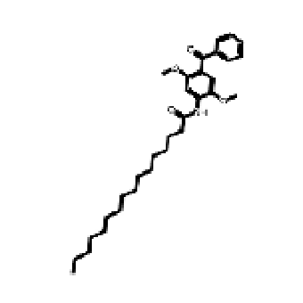 CCCCCCCCCCCCCCCC(=O)Nc1cc(OC)c(C(=O)c2ccccc2)cc1OC